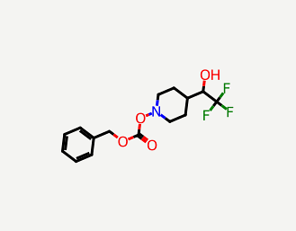 O=C(OCc1ccccc1)ON1CCC(C(O)C(F)(F)F)CC1